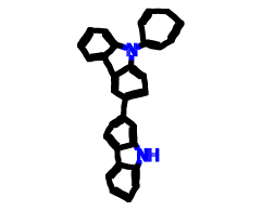 C1=CCC=CC(n2c3ccccc3c3cc(-c4ccc5c(c4)[nH]c4ccccc45)ccc32)=C1